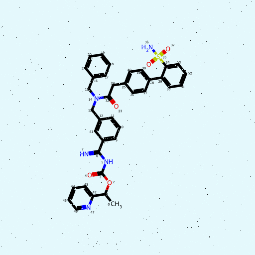 CC(OC(=O)NC(=N)c1cccc(CN(Cc2ccccc2)C(=O)Cc2ccc(-c3ccccc3S(N)(=O)=O)cc2)c1)c1ccccn1